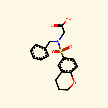 O=C(O)CN(Cc1ccccc1)S(=O)(=O)c1ccc2c(c1)CCCO2